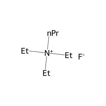 CCC[N+](CC)(CC)CC.[F-]